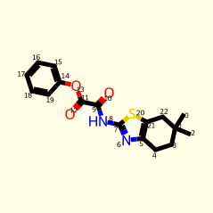 CC1(C)CCc2nc(NC(=O)C(=O)Oc3ccccc3)sc2C1